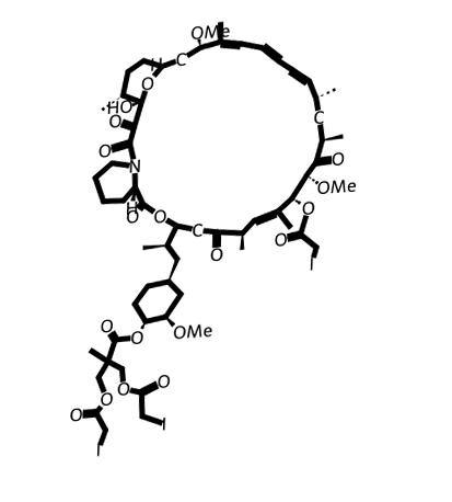 CO[C@H]1C[C@@H]2CC[C@@H](C)[C@@](O)(O2)C(=O)C(=O)N2CCCC[C@H]2C(=O)OC([C@H](C)C[C@@H]2CC[C@@H](OC(=O)C(C)(COC(=O)CI)COC(=O)CI)[C@H](OC)C2)CC(=O)[C@H](C)/C=C(\C)[C@@H](OC(=O)CI)[C@@H](OC)C(=O)[C@H](C)C[C@@H](C)\C=C/C=C/C=C/1C